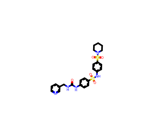 O=C(NCc1cccnc1)Nc1ccc(S(=O)(=O)Nc2ccc(S(=O)(=O)N3CCCCC3)cc2)cc1